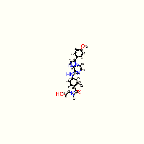 COc1ccc(-c2cnc3c(Nc4ccc(C(=O)N(C)CCO)c(C)c4)nccn23)cc1